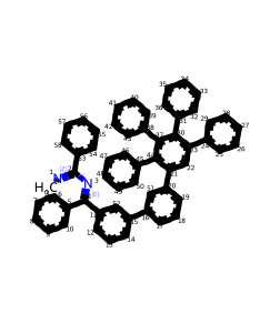 C/N=C(\N=C(/c1ccccc1)c1cccc(-c2cccc(-c3cc(-c4ccccc4)c(-c4ccccc4)c(-c4ccccc4)c3-c3ccccc3)c2)c1)c1ccccc1